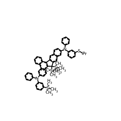 CC(C)Sc1cccc(N(c2ccccc2)c2ccc3cc4c(cc3c2)C([Si](C)(C)C)([Si](C)(C)C)c2c-4c3ccccc3c3cc(N(c4ccccc4)c4cccc([Si](C)(C)C)c4)ccc23)c1